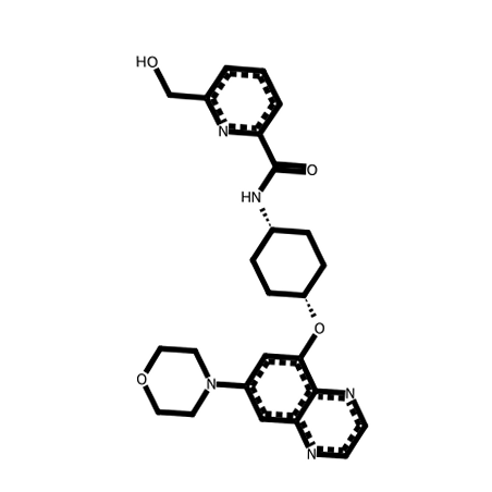 O=C(N[C@H]1CC[C@@H](Oc2cc(N3CCOCC3)cc3nccnc23)CC1)c1cccc(CO)n1